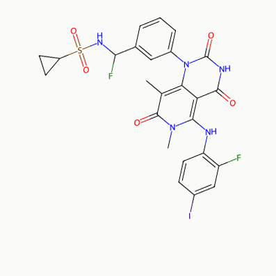 Cc1c(=O)n(C)c(Nc2ccc(I)cc2F)c2c(=O)[nH]c(=O)n(-c3cccc(C(F)NS(=O)(=O)C4CC4)c3)c12